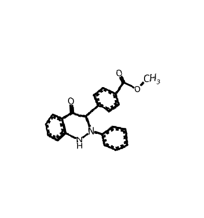 COC(=O)c1ccc(C2C(=O)c3ccccc3NN2c2ccccc2)cc1